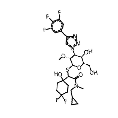 CO[C@@H]1[C@@H](n2cc(-c3cc(F)c(F)c(F)c3)nn2)[C@@H](O)[C@@H](CO)O[C@H]1SC(C(=O)N(C)CC1CC1)C1(O)CCC(F)(F)CC1